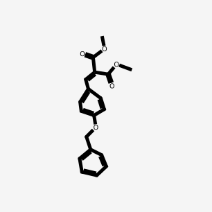 COC(=O)C(=Cc1ccc(OCc2ccccc2)cc1)C(=O)OC